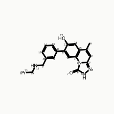 Cc1cc2n[nH]c(=O)n2c2cc(-c3cccc(CNCC(C)C)c3)c(O)cc12